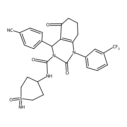 N#Cc1ccc(C2C3=C(CCCC3=O)N(c3cccc(C(F)(F)F)c3)C(=O)N2C(=O)NC2CCS(=N)(=O)CC2)cc1